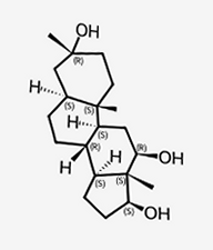 C[C@@]1(O)CC[C@@]2(C)[C@@H](CC[C@@H]3[C@@H]2C[C@@H](O)[C@]2(C)[C@@H](O)CC[C@@H]32)C1